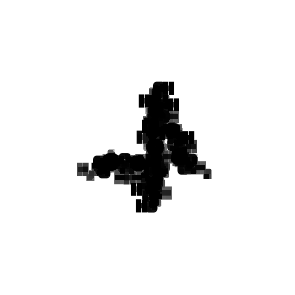 NS(=O)(=O)c1cccc(NC(=O)N[C@@H]2CCN(c3nc(N[C@H]4CC[C@H](Nc5nc(N6CC[C@@H](NC(=O)Nc7cccc(S(N)(=O)=O)c7)C6)nc6c5ncn6[C@@H]5C[C@H](NC(=O)CO)[C@@H](O)[C@H]5O)CC4)c4ncn([C@@H]5C[C@H](NC(=O)CO)[C@@H](O)[C@H]5O)c4n3)C2)c1